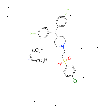 O=C(O)/C=C\C(=O)O.O=S(=O)(CCN1CCC(C(c2ccc(F)cc2)c2ccc(F)cc2)CC1)c1ccc(Cl)cc1